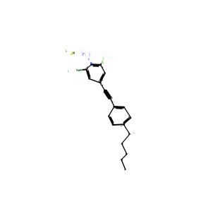 CCCCCc1ccc(C#Cc2cc(F)c(N=C=S)c(Cl)c2)cc1